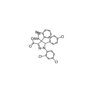 COC(=O)C1=NN(c2ccc(Cl)cc2Cl)C(c2ccc(Cl)cc2)C1(CBr)c1ccccc1Br